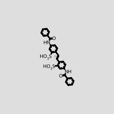 O=C(Nc1ccc(/C=C/c2ccc(NC(=O)c3ccccc3)cc2S(=O)(=O)O)c(S(=O)(=O)O)c1)c1ccccc1